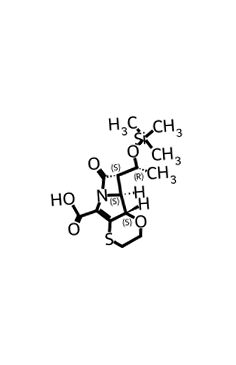 C[C@@H](O[Si](C)(C)C)[C@H]1C(=O)N2C(C(=O)O)=C3SCCO[C@H]3[C@H]12